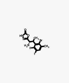 Cc1cc(F)c(F)c(C(C)[C@H](N)c2n[nH]c(=O)o2)c1Br